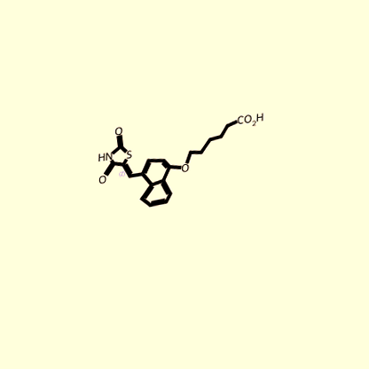 O=C(O)CCCCCOc1ccc(/C=C2\SC(=O)NC2=O)c2ccccc12